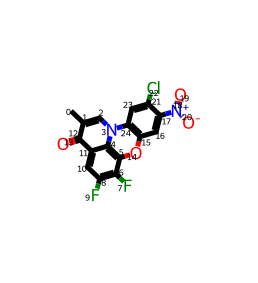 Cc1cn2c3c(c(F)c(F)cc3c1=O)Oc1cc([N+](=O)[O-])c(Cl)cc1-2